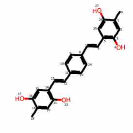 Cc1cc(O)c(/C=C/c2ccc(/C=C/c3cc(O)c(C)cc3O)cc2)cc1O